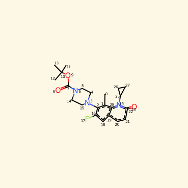 Cc1c(N2CCN(C(=O)OC(C)(C)C)CC2)c(F)cc2ccc(=O)n(C3CC3)c12